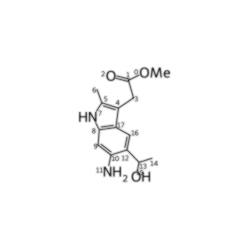 COC(=O)Cc1c(C)[nH]c2cc(N)c(C(C)O)cc12